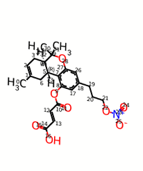 CC1=CC[C@@H]2[C@@H](C1)c1c(OC(=O)C=CC(=O)O)cc(CCCO[N+](=O)[O-])cc1OC2(C)C